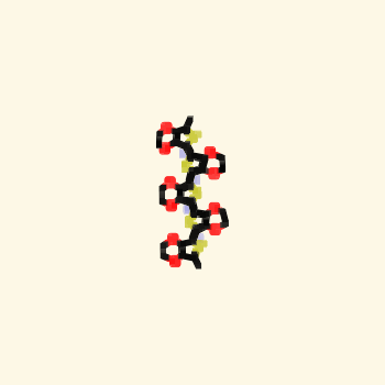 CC1=[S+]/C(=c2/s/c(=c3/s/c(=c4/s/c(=C5/[S+]=C(C)C6=C5OCCO6)c5c4OCCO5)c4c3OCCO4)c3c2OCCO3)C2=C1OCCO2